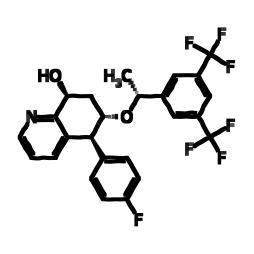 C[C@@H](O[C@H]1C[C@H](O)c2ncccc2[C@@H]1c1ccc(F)cc1)c1cc(C(F)(F)F)cc(C(F)(F)F)c1